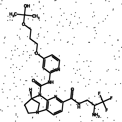 CC(C)(O)OCCCOc1ccnc(NC(=O)N2c3nc(C(=O)NCC(N)C(F)(F)F)ccc3N3CC[C@H]2C3)c1